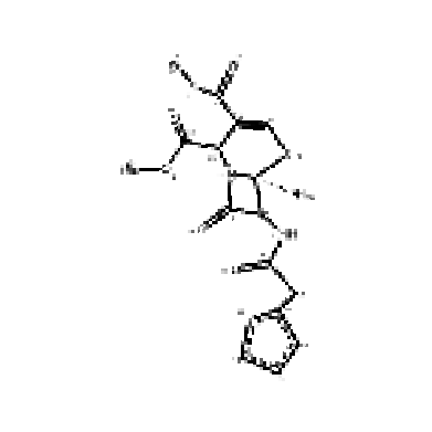 CCSC(=O)C1=CS[C@H]2C(NC(=O)Cc3cccs3)C(=O)N2C1C(=O)OC(C)(C)C